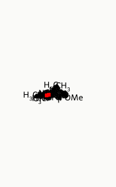 COc1ccc(COC2CC(C)(C)Cc3nc(C4CCN(c5ncc(C(C)O)cn5)CC4)c(C(F)c4ccc(C)cc4)c(C4CCC(F)(F)CC4)c32)cc1